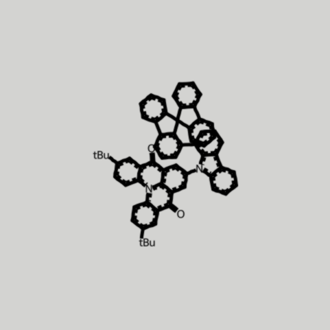 CC(C)(C)c1ccc2c(c1)c(=O)c1cc(-n3c4ccccc4c4cccc(-c5cccc6c5C5(c7ccccc7-c7ccccc75)c5ccccc5-6)c43)cc3c(=O)c4cc(C(C)(C)C)ccc4n2c13